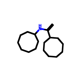 C=C(NC1CCCCCCC1)C1CCCCCCC1